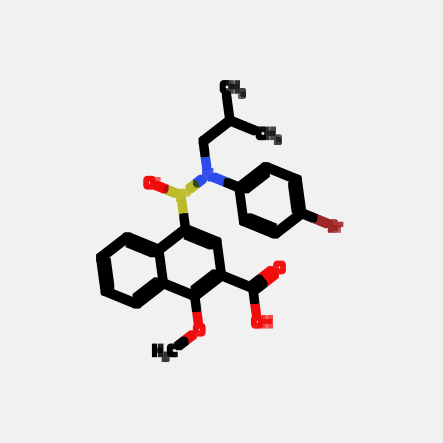 COc1c(C(=O)O)cc([S+]([O-])N(CC(C)C)c2ccc(Br)cc2)c2ccccc12